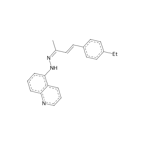 CCc1ccc(/C=C/C(C)=N\Nc2cccc3ncccc23)cc1